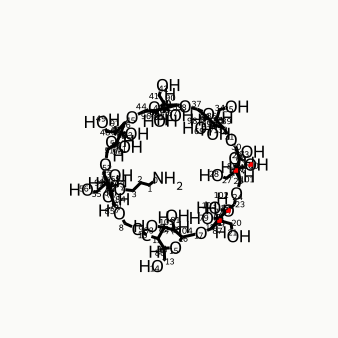 NCCCO[C@H]1[C@H]2OCCCC3[C@@H](CO)OC(OC4[C@@H](CO)OC(OC5[C@@H](CO)OC(OC6[C@@H](CO)OC(OC7[C@@H](CO)OC(OC8[C@@H](CO)OC(OC([C@@H](CO)O2)[C@@H]1O)[C@H](O)[C@H]8O)[C@H](O)[C@H]7O)[C@H](O)[C@H]6O)[C@H](O)[C@H]5O)[C@H](O)[C@H]4O)[C@H](O)[C@H]3O